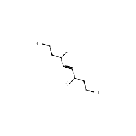 CCCC(Br)C=CC(Br)CCC